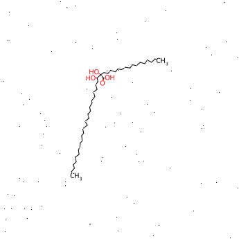 CCCCCCCCCCCCCCCCCCCCCCCCCCCC(O)C(O)(CCCCCCCCCCCCCCCC)C(=O)O